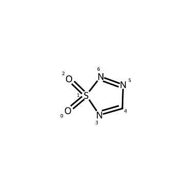 O=S1(=O)N=CN=N1